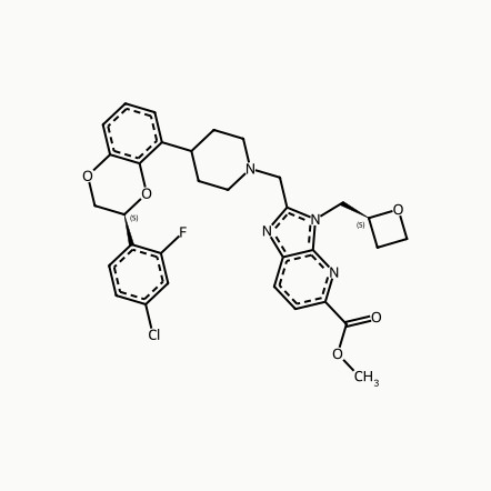 COC(=O)c1ccc2nc(CN3CCC(c4cccc5c4O[C@@H](c4ccc(Cl)cc4F)CO5)CC3)n(C[C@@H]3CCO3)c2n1